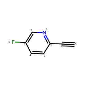 [C]#Cc1ccc(F)cn1